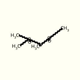 CCCCCCCCCCCCOC(=O)CCCCCCN(CC)CCCCCCCC(=O)OC(CCCCCCCC)CCCCCCCC